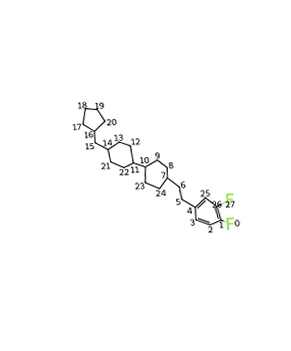 Fc1ccc(CCC2CCC(C3CCC(CC4CCCC4)CC3)CC2)cc1F